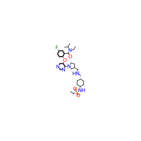 CCN(C(=O)c1cc(F)ccc1Oc1cncnc1N1CC[C@@H](CNC[C@H]2CC[C@H](NS(=O)(=O)CC)CC2)C1)C(C)C